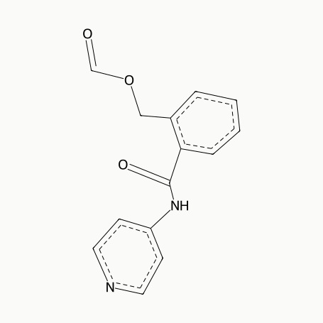 O=COCc1ccccc1C(=O)Nc1ccncc1